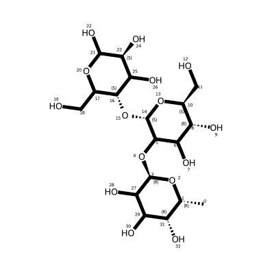 C[C@H]1O[C@H](OC2C(O)[C@@H](O)[C@H](CO)O[C@H]2O[C@@H]2C(CO)OC(O)[C@@H](O)C2O)C(O)C(O)[C@H]1O